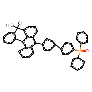 CC1(C)c2ccccc2-c2c3ccccc3c(-c3ccc(-c4ccc(P(=O)(c5ccccc5)c5ccccc5)cc4)cc3)c3cccc1c23